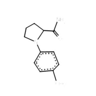 NC(=O)C1CCCN1c1ccc(C=O)cc1